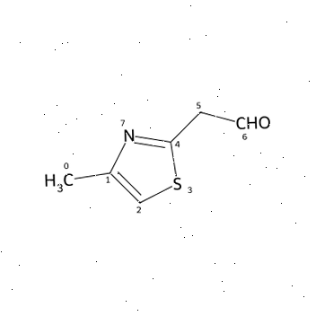 Cc1csc(CC=O)n1